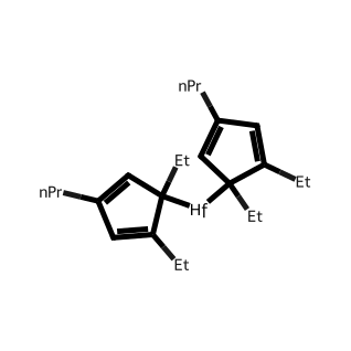 CCCC1=C[C](CC)([Hf][C]2(CC)C=C(CCC)C=C2CC)C(CC)=C1